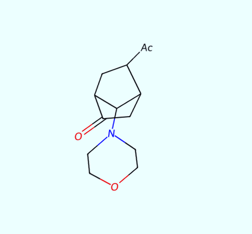 CC(=O)C1CC2C(=O)CC1C2N1CCOCC1